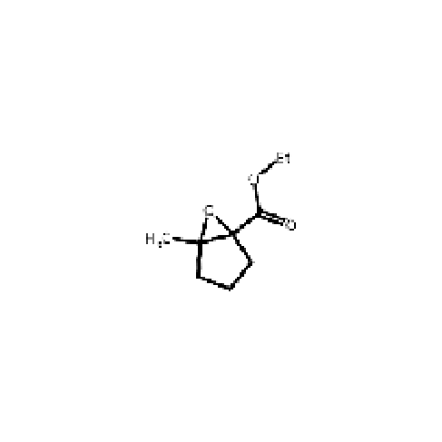 CCOC(=O)C12CCCC1(C)O2